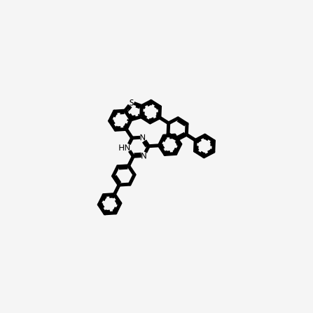 C1=CC(c2ccc3sc4cccc(C5N=C(c6ccccc6)N=C(C6=CC=C(c7ccccc7)CC6)N5)c4c3c2)CC=C1c1ccccc1